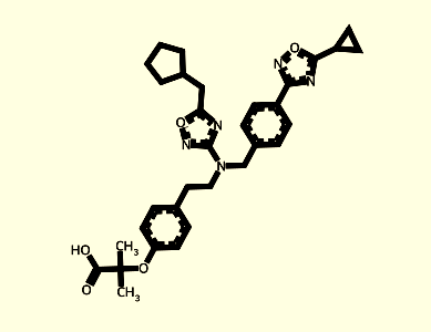 CC(C)(Oc1ccc(CCN(Cc2ccc(-c3noc(C4CC4)n3)cc2)c2noc(CC3CCCC3)n2)cc1)C(=O)O